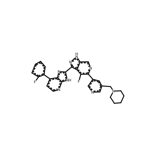 Fc1ccccc1-c1ccnc2[nH]c(-c3n[nH]c4cnc(-c5cncc(CN6CCCCC6)c5)c(F)c34)nc12